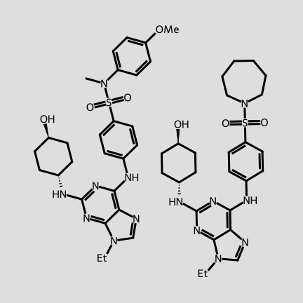 CCn1cnc2c(Nc3ccc(S(=O)(=O)N(C)c4ccc(OC)cc4)cc3)nc(N[C@H]3CC[C@H](O)CC3)nc21.CCn1cnc2c(Nc3ccc(S(=O)(=O)N4CCCCCC4)cc3)nc(N[C@H]3CC[C@H](O)CC3)nc21